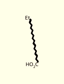 CCC=CCCCCCCCC=CCCC=CCCC(=O)O